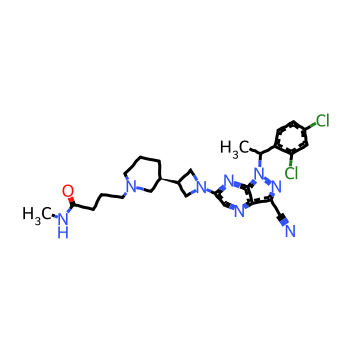 CNC(=O)CCCN1CCC[C@@H](C2CN(c3cnc4c(C#N)nn(C(C)c5ccc(Cl)cc5Cl)c4n3)C2)C1